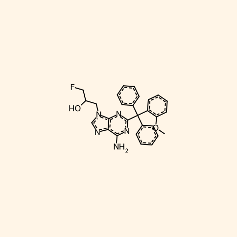 COc1ccccc1C(c1ccccc1)(c1ccccc1)c1nc(N)c2ncn(CC(O)CF)c2n1